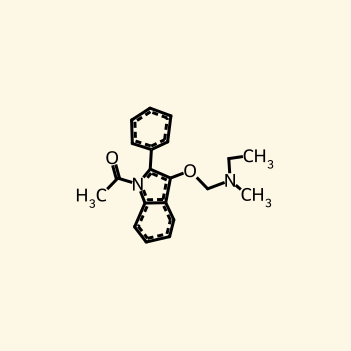 CCN(C)COc1c(-c2ccccc2)n(C(C)=O)c2ccccc12